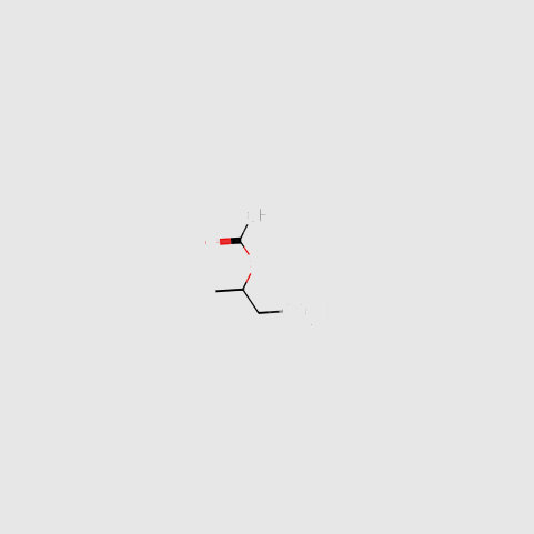 CC(CC(=O)O)OC(=O)C(F)(F)F